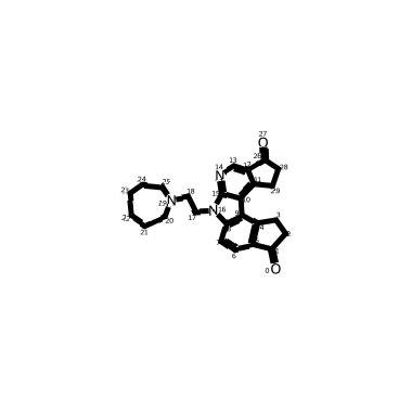 O=C1CCc2c1ccc1c2c2c3c(cnc2n1CCN1CCCCCC1)C(=O)CC3